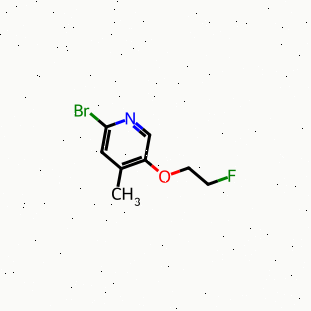 Cc1cc(Br)ncc1OCCF